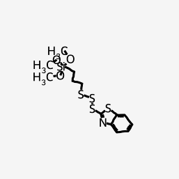 CO[Si](CCCSSSc1nc2ccccc2s1)(OC)OC